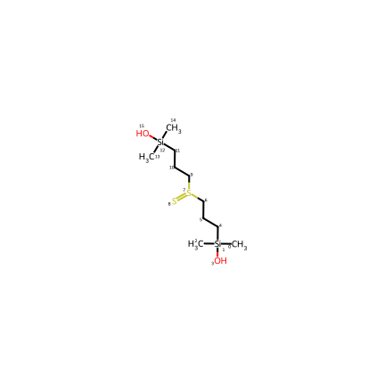 C[Si](C)(O)CCCS(=S)CCC[Si](C)(C)O